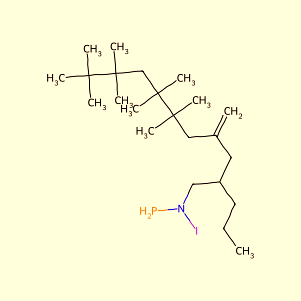 C=C(CC(CCC)CN(P)I)CC(C)(C)C(C)(C)CC(C)(C)C(C)(C)C